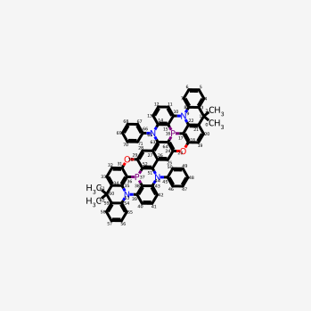 CC1(C)c2ccccc2-n2c3cccc4c3p3c5c(ccc1c52)oc1cc2c(cc5oc6ccc7c8c6p6c9c(cccc9n(-c9ccccc9)c2c56)n8-c2ccccc2C7(C)C)c(c13)n4-c1ccccc1